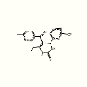 CCC1=C(C(=O)c2ccc(C)cc2)C(c2cccc(O)c2)NC(=O)N1